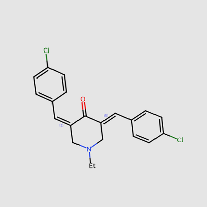 CCN1C/C(=C/c2ccc(Cl)cc2)C(=O)/C(=C/c2ccc(Cl)cc2)C1